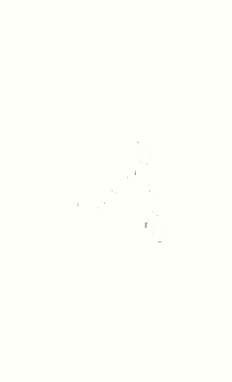 Cc1cc(CC(OC(=O)N2CCC(N3CCc4ccccc4NC3=O)CC2)C(=O)N2CCC(N3CCN(C(=O)CCC(=O)O)CC3)CC2)cc(C)c1O